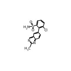 Cc1ncc2cc(-c3c(Cl)cccc3S(N)(=O)=O)ccc2n1